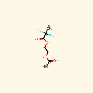 CCC(C)C(=O)OCCOC(=O)C(F)(F)C(F)(F)F